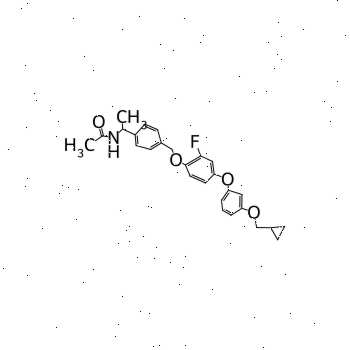 CC(=O)NC(C)c1ccc(COc2ccc(Oc3cccc(OCC4CC4)c3)cc2F)cc1